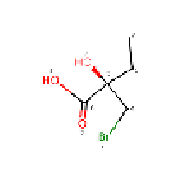 CC[C@](O)(CBr)C(=O)O